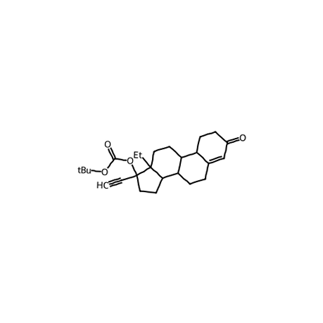 C#CC1(OC(=O)OC(C)(C)C)CCC2C3CCC4=CC(=O)CCC4C3CCC21CC